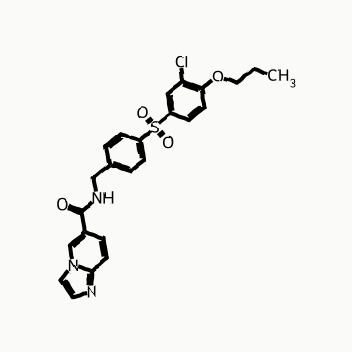 CCCOc1ccc(S(=O)(=O)c2ccc(CNC(=O)c3ccc4nccn4c3)cc2)cc1Cl